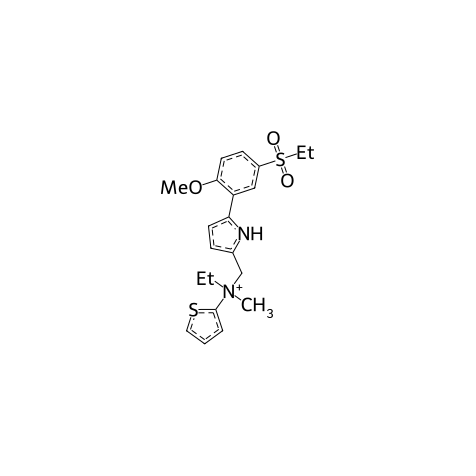 CC[N+](C)(Cc1ccc(-c2cc(S(=O)(=O)CC)ccc2OC)[nH]1)c1cccs1